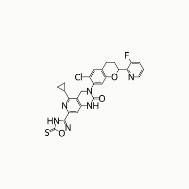 O=C1Nc2cc(-c3noc(=S)[nH]3)nc(C3CC3)c2CN1c1cc2c(cc1Cl)CCC(c1ncccc1F)O2